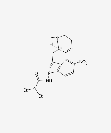 CCN(CC)C(=O)Nn1cc2c3c(c([N+](=O)[O-])ccc31)C1=CCCN(C)[C@@H]1C2